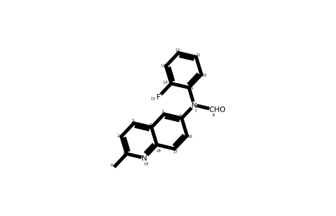 Cc1ccc2cc(N(C=O)c3ccccc3F)ccc2n1